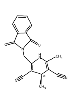 CC1=C(C#N)[C@@H](C)C(C#N)=C(CN2C(=O)c3ccccc3C2=O)N1